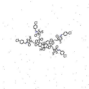 O=C(CCN1C(=O)/C(=C/c2ccc(Cl)cc2)SC1=S)Oc1cc2c(cc1OC(=O)CCN1C(=O)/C(=C/c3ccc(Cl)cc3)SC1=S)[C@@H]1c3ccc(OC(=O)CCN4C(=O)/C(=C/c5ccc(Cl)cc5)SC4=S)c(OC(=O)CCN4C(=O)/C(=C/c5ccc(Cl)cc5)SC4=S)c3OC[C@]1(O)C2